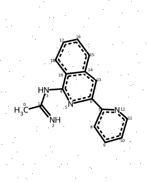 CC(=N)Nc1nc(-c2ccccn2)cc2ccccc12